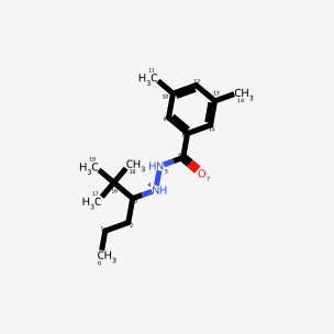 CCCC(NNC(=O)c1cc(C)cc(C)c1)C(C)(C)C